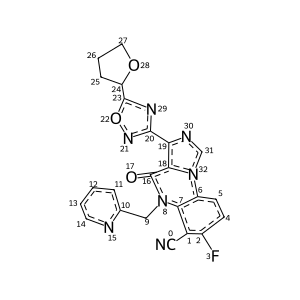 N#Cc1c(F)ccc2c1n(Cc1ccccn1)c(=O)c1c(-c3noc(C4CCCO4)n3)ncn12